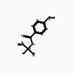 CCCC(C)c1ccc(C(=O)OC(C)(CC)NC)cc1